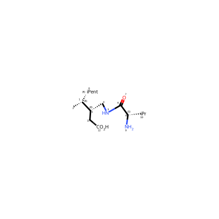 CCC[C@@H](C)[C@@H](C)[C@H](CNC(=O)[C@@H](N)C(C)C)CC(=O)O